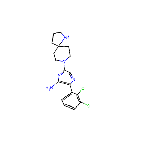 Nc1nc(N2CCC3(CCCN3)CC2)cnc1-c1cccc(Cl)c1Cl